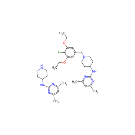 CCOc1cc(CN2CCC(Nc3nc(C)cc(C)n3)CC2)cc(OCC)c1F.Cc1cc(C)nc(NC2CCNCC2)n1